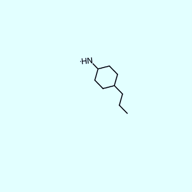 CCCC1CCC([NH])CC1